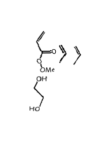 C=CC.C=CC.C=CC(=O)OOC.OCCO